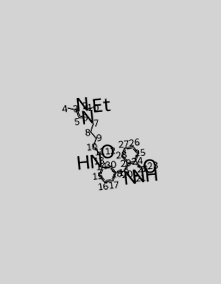 CCc1nc(C)cn1CCCCC(=O)Nc1cccc(-c2n[nH]c(=O)c3ccccc23)c1